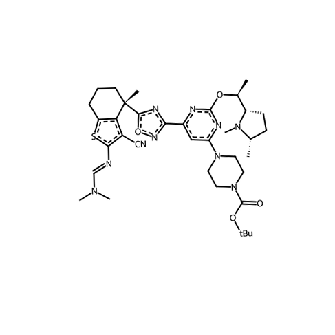 C[C@H](Oc1nc(-c2noc([C@@]3(C)CCCc4sc(/N=C/N(C)C)c(C#N)c43)n2)cc(N2CCN(C(=O)OC(C)(C)C)CC2)n1)[C@@H]1CC[C@H](C)N1C